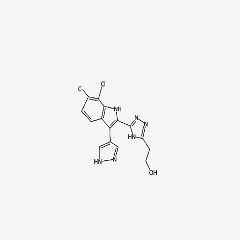 OCCc1nnc(-c2[nH]c3c(Cl)c(Cl)ccc3c2-c2cn[nH]c2)[nH]1